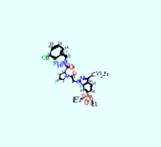 CCOC(=O)c1nn(CC(=O)N2C[C@H](F)C[C@H]2C(=O)NCc2cccc(Cl)c2F)c2cc(P(=O)(OCC)OCC)ccc12